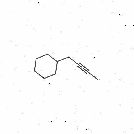 [CH2]C#CCC1CCCCC1